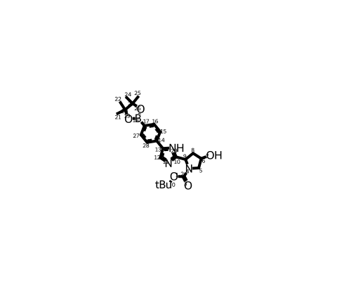 CC(C)(C)OC(=O)N1CC(O)CC1c1ncc(-c2ccc(B3OC(C)(C)C(C)(C)O3)cc2)[nH]1